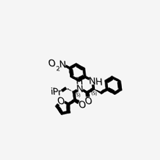 CC(C)C[C@H](NC(=O)[C@H](Cc1ccccc1)Nc1ccc([N+](=O)[O-])cc1)C(=O)c1ccco1